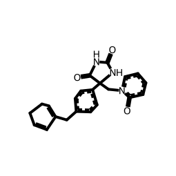 O=C1NC(=O)C(Cn2ccccc2=O)(c2ccc(CC3=CCCC=C3)cc2)N1